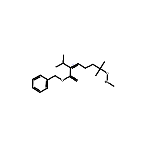 C=C(OCc1ccccc1)/C(=C\CCC(C)(C)ONC)C(C)C